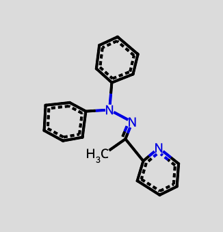 CC(=NN(c1ccccc1)c1ccccc1)c1ccccn1